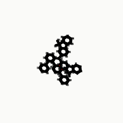 C[SiH]1c2ccccc2-c2cc(N(c3ccc4c(c3)C(C)(C)c3ccccc3-4)c3cccc(-c4ccccc4)c3-c3ccc(-c4ccccc4)cc3)ccc21